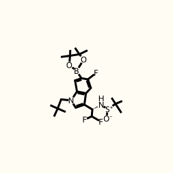 CC(C)(C)Cn1cc([C@H](N[S+]([O-])C(C)(C)C)C(F)F)c2cc(F)c(B3OC(C)(C)C(C)(C)O3)cc21